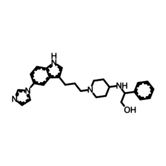 OCC(NC1CCN(CCCc2c[nH]c3ccc(-n4ccnc4)cc23)CC1)c1ccccc1